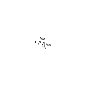 N.[AlH3].[Mo].[Mo]